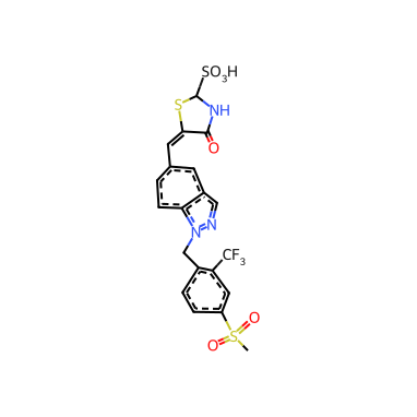 CS(=O)(=O)c1ccc(Cn2ncc3cc(C=C4SC(S(=O)(=O)O)NC4=O)ccc32)c(C(F)(F)F)c1